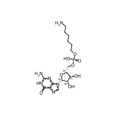 NCCCCCCOP(=O)(O)OC[C@H]1O[C@@H](n2cnc3c(=O)[nH]c(N)nc32)[C@H](O)[C@@H]1O